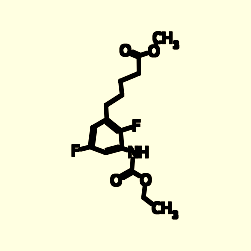 CCOC(=O)Nc1cc(F)cc(CCCCC(=O)OC)c1F